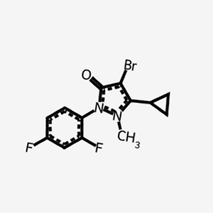 Cn1c(C2CC2)c(Br)c(=O)n1-c1ccc(F)cc1F